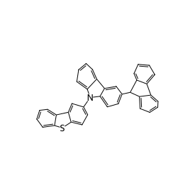 c1ccc2c(c1)-c1ccccc1C2c1ccc2c(c1)c1ccccc1n2-c1ccc2sc3ccccc3c2c1